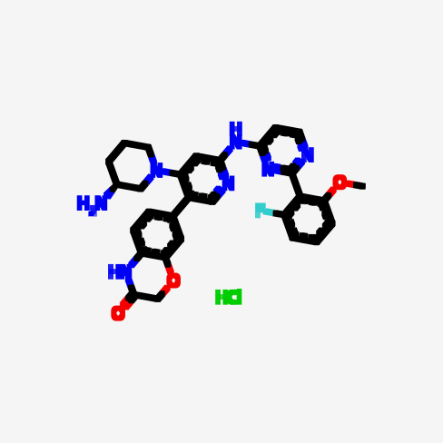 COc1cccc(F)c1-c1nccc(Nc2cc(N3CCC[C@H](N)C3)c(-c3ccc4c(c3)OCC(=O)N4)cn2)n1.Cl